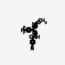 COCc1ccc([C@@H](c2ccc(C(F)(F)F)cc2)N2CCC(NC(=O)c3ccc(C#N)cc3)C2)cn1